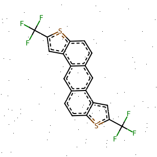 FC(F)(F)c1cc2c(ccc3cc4c(ccc5sc(C(F)(F)F)cc54)cc32)s1